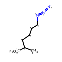 CCOC(=O)C(C)CCCCN=[N+]=[N-]